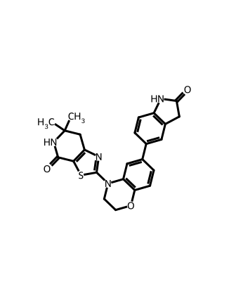 CC1(C)Cc2nc(N3CCOc4ccc(-c5ccc6c(c5)CC(=O)N6)cc43)sc2C(=O)N1